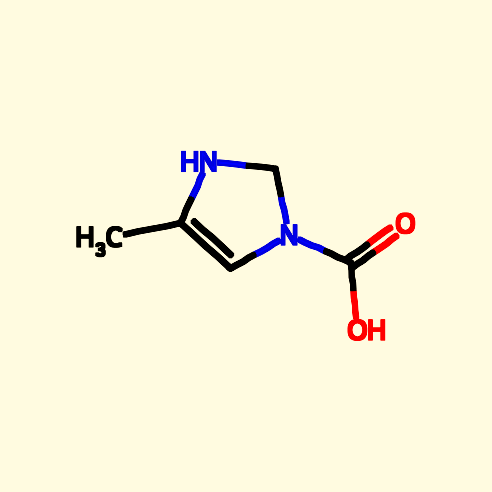 CC1=CN(C(=O)O)CN1